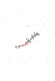 C=CCCOCCC1COC(c2cc(F)c(C#Cc3ccc(-c4ccc(N=C=S)c(F)c4)c(F)c3)c(Cl)c2)OC1